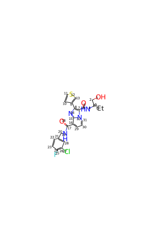 CC[C@@H](CO)NC(=O)c1c(-c2ccsc2)nc2c(C(=O)NCc3ccc(F)c(Cl)c3)cccn12